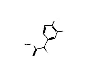 C=C(OC)C(N)c1ccc(O)c(O)c1